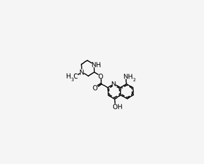 CN1CCNC(OC(=O)c2cc(O)c3cccc(N)c3n2)C1